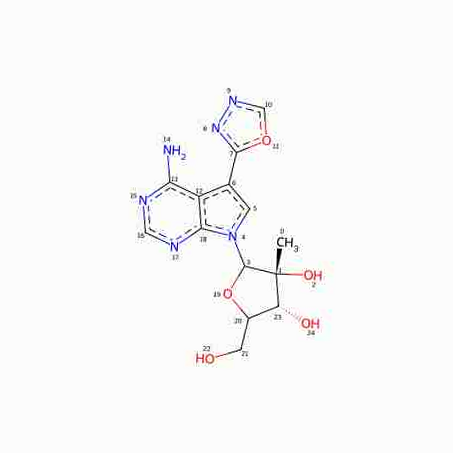 C[C@]1(O)C(n2cc(-c3nnco3)c3c(N)ncnc32)OC(CO)[C@H]1O